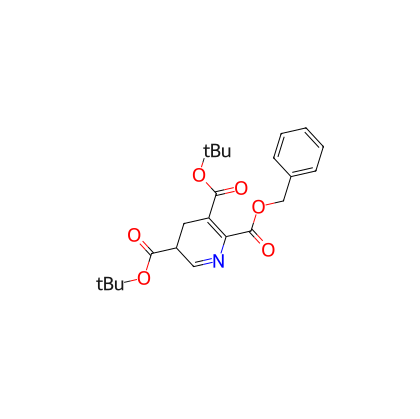 CC(C)(C)OC(=O)C1=C(C(=O)OCc2ccccc2)N=CC(C(=O)OC(C)(C)C)C1